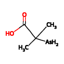 CC(C)([AsH2])C(=O)O